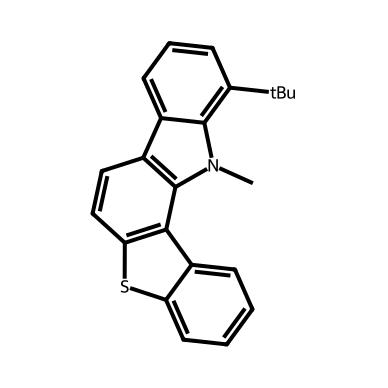 Cn1c2c(C(C)(C)C)cccc2c2ccc3sc4ccccc4c3c21